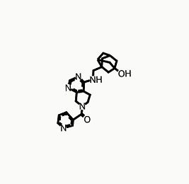 O=C(c1cccnc1)N1CCc2c(ncnc2NCC23CC4CC2CC(O)(C4)C3)C1